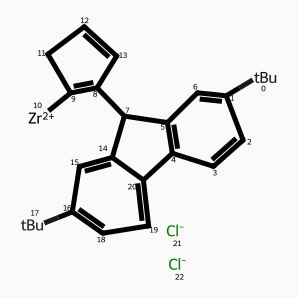 CC(C)(C)c1ccc2c(c1)C(C1=[C]([Zr+2])CC=C1)c1cc(C(C)(C)C)ccc1-2.[Cl-].[Cl-]